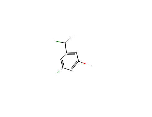 [CH2]CC(F)c1cc(O)cc(F)c1